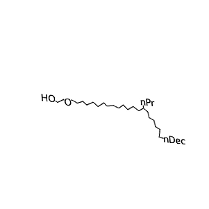 CCCCCCCCCCCCCCCCC(CCC)CCCCCCCCCCCCCCOCCO